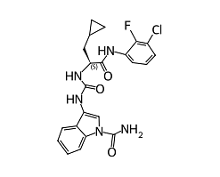 NC(=O)n1cc(NC(=O)N[C@@H](CC2CC2)C(=O)Nc2cccc(Cl)c2F)c2ccccc21